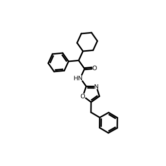 O=C(Nc1ncc(Cc2ccccc2)o1)C(c1ccccc1)C1CCCCC1